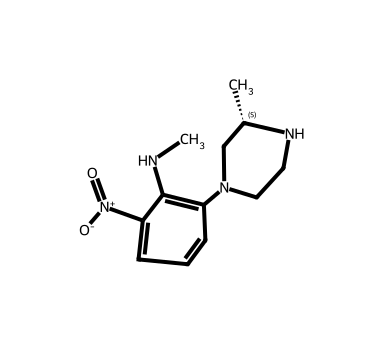 CNc1c(N2CCN[C@@H](C)C2)cccc1[N+](=O)[O-]